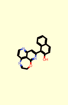 Oc1ccc2ccccc2c1-c1cc2nccc3c2c(n1)OCC=N3